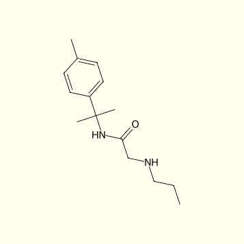 CCCNCC(=O)NC(C)(C)c1ccc(C)cc1